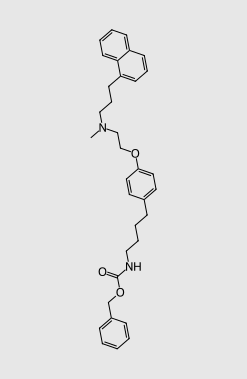 CN(CCCc1cccc2ccccc12)CCOc1ccc(CCCCNC(=O)OCc2ccccc2)cc1